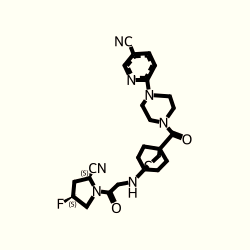 N#Cc1ccc(N2CCN(C(=O)C34CCC(NCC(=O)N5C[C@@H](F)C[C@H]5C#N)(CC3)CC4)CC2)nc1